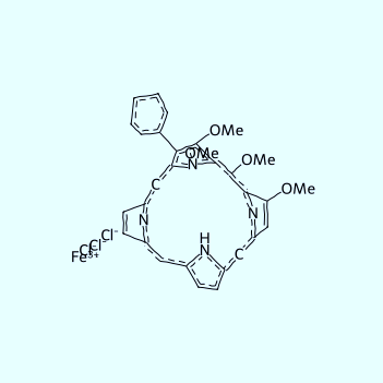 COC1=Cc2cc3ccc(cc4nc(cc5c(-c6ccccc6)c(OC)c(c(OC)c1n2)n5OC)C=C4)[nH]3.[Cl-].[Cl-].[Cl-].[Fe+3]